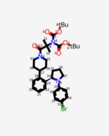 CC(C)(C)OC(=O)N(C(=O)OC(C)(C)C)C(C)(C)C(=O)N1CCC(c2ccccc2[C@H]2CCCN2c2ccc(Br)cc2)CC1